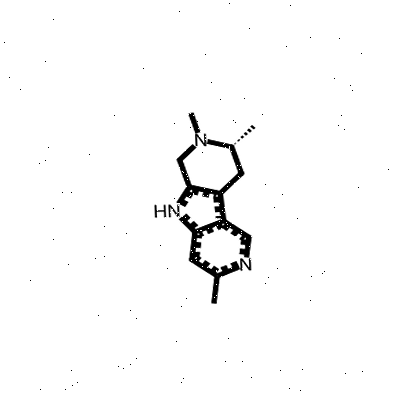 Cc1cc2[nH]c3c(c2cn1)C[C@@H](C)N(C)C3